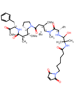 CC[C@H](C)[C@@H]([C@@H](CC(=O)N1CCC[C@H]1[C@H](OC)[C@@H](C)C(=O)N[C@@H](Cc1ccccc1)C(=O)OC)OC)N(C)C(=O)[C@@H](NC(O)C(C)(C)NC(=O)CCCCCN1C(=O)C=CC1=O)C(C)C